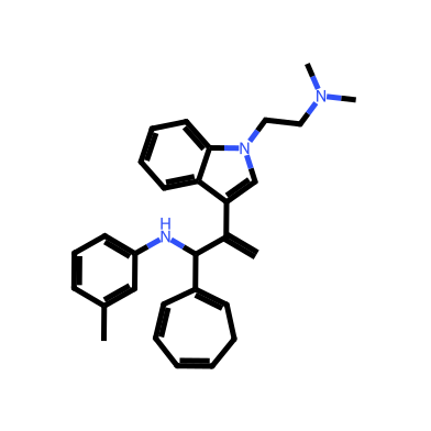 C=C(c1cn(CCN(C)C)c2ccccc12)C(Nc1cccc(C)c1)C1=CCC=CC=C1